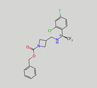 O=C(OCc1ccccc1)N1CC(CN[C@@H](c2ccc(F)cc2Cl)C(F)(F)F)C1